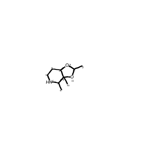 CC1OC2CCNC(C)C2(C)O1